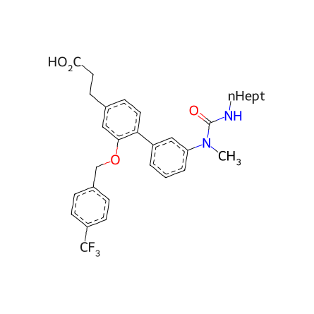 CCCCCCCNC(=O)N(C)c1cccc(-c2ccc(CCC(=O)O)cc2OCc2ccc(C(F)(F)F)cc2)c1